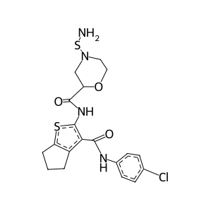 NSN1CCOC(C(=O)Nc2sc3c(c2C(=O)Nc2ccc(Cl)cc2)CCC3)C1